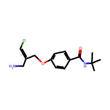 CC(C)(C)NC(=O)c1ccc(OC/C(=C\Cl)CN)cc1